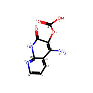 Nc1c(OC(=O)O)c(=O)[nH]c2ncccc12